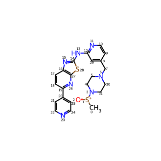 C[S+]([O-])N1CCN(Cc2ccnc(Nc3nc4ccc(-c5ccncc5)nc4s3)c2)CC1